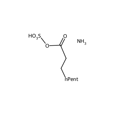 CCCCCCCC(=O)OS(=O)(=O)O.N